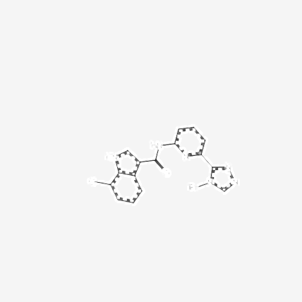 CC(C)n1cnnc1-c1cccc(NC(=O)c2c[nH]c3c(Cl)cccc23)n1